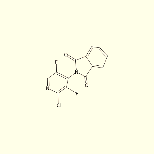 O=C1c2ccccc2C(=O)N1c1c(F)cnc(Cl)c1F